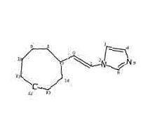 C(=Cn1ccnc1)C1CCCCCCC1